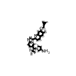 N[C@H]1CCN([C@H](c2ccc3nnc(-c4ccc5cc(F)c(OCC6CC6)cc5n4)n3c2)C(F)(F)F)C1